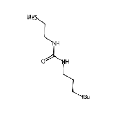 CCC(C)CCCNC(=O)NCCSC